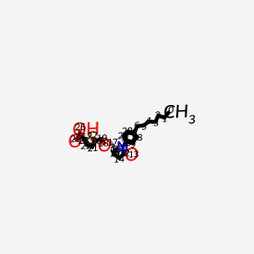 CCCCCCCc1ccc(N2C(=O)CC[C@@H]2COCc2ccc(C(=O)O)s2)cc1